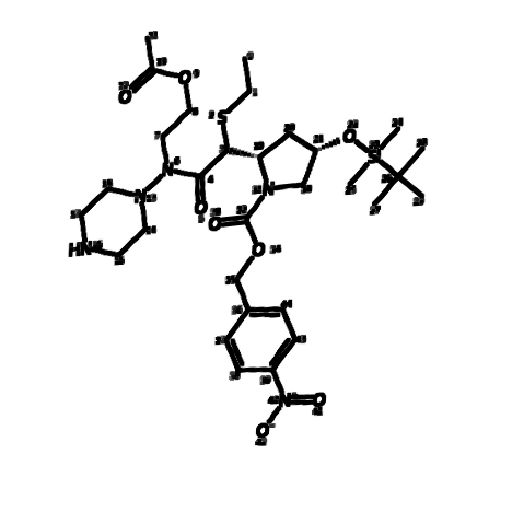 CCSC(C(=O)N(CCOC(C)=O)N1CCNCC1)[C@@H]1C[C@H](O[Si](C)(C)C(C)(C)C)CN1C(=O)OCc1ccc([N+](=O)[O-])cc1